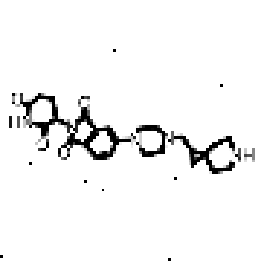 O=C1CCC(N2C(=O)c3ccc(N4CCN(CC5CC56CCNCC6)CC4)cc3C2=O)C(=O)N1